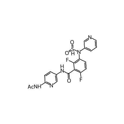 CC(=O)Nc1ccc(NC(=O)c2c(F)ccc(N(c3cccnc3)[SH](=O)=O)c2F)cn1